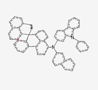 c1ccc(-n2c3ccccc3c3ccc(N(c4ccc5ccccc5c4)c4ccc5c6c(cccc46)C4(c6ccccc6-c6cccc7cccc4c67)c4ccccc4-5)cc32)cc1